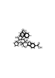 O=C(O)c1ccc2c3n(nc2c1)[C@@H]1[C@H](CO3)N(C2CCCC2)[C@@]2(C(=O)Nc3cc(Cl)ccc32)[C@H]1c1cccc(Cl)c1F